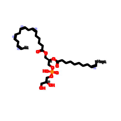 CC/C=C\C/C=C\C/C=C\C/C=C\CCCCC(=O)OC[C@H](COP(=O)(O)OC[C@@H](O)CO)OC(=O)CCCCCCC/C=C\CCCCCCC